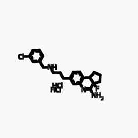 Cl.Cl.NC1=Nc2cc(CCCNCc3cccc(Cl)c3)ccc2C2CCCC12F